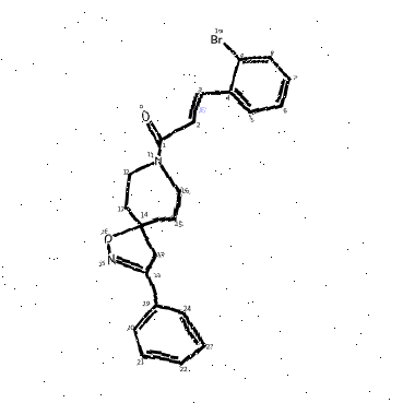 O=C(/C=C/c1ccccc1Br)N1CCC2(CC1)CC(c1ccccc1)=NO2